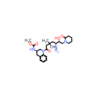 COC(=O)NC1Cc2ccccc2N(C(=O)CC(C)(C)C[C@H](N)[C@@H](O)CN2CCCCC2=O)C1